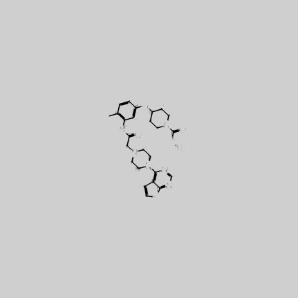 Cc1ccc(OC2CCN(C(=O)OC(C)(C)C)CC2)cc1NC(=O)CN1C[C@@H](C)N(c2ncnc3sccc23)[C@@H](C)C1